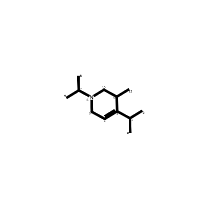 CC(C)C1=CCN(C(C)C)CC1C